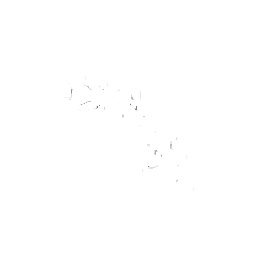 CN(CCCCN1C(=O)CC2(CCCC2)CC1=O)CC1COc2ccccc2O1